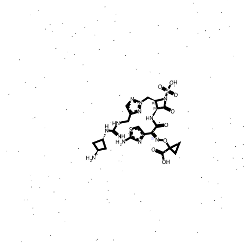 N=C(NCc1cnn(C[C@@H]2[C@H](NC(=O)/C(=N\OC3(C(=O)O)CC3)c3csc(N)n3)C(=O)N2S(=O)(=O)O)n1)N[C@H]1C[C@H](N)C1